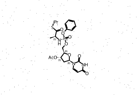 CC(=O)O[C@H]1C[C@H](n2ccc(=O)[nH]c2=O)O[C@@H]1CO[P@@](=O)(N[C@@H](C)C(=O)SC(C)C)Oc1ccccc1